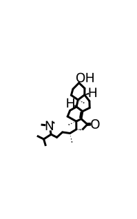 CC(C)C(CC[C@@H](C)[C@H]1CC(=O)C2=C3CC[C@H]4C[C@@H](O)CC[C@]4(C)[C@H]3CC[C@@]21C)N(C)C